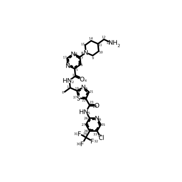 CC(NC(=O)c1cc(N2CCC(CN)CC2)ncn1)c1ncc(C(=O)Nc2cc(C(F)(F)F)c(Cl)cn2)s1